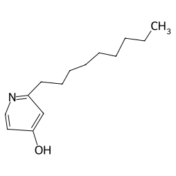 CCCCCCCCCc1cc(O)ccn1